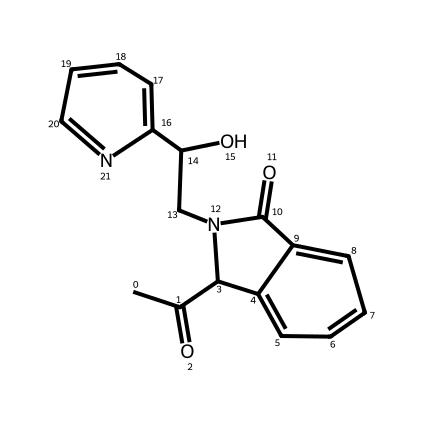 CC(=O)C1c2ccccc2C(=O)N1CC(O)c1ccccn1